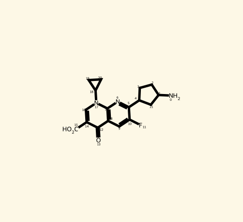 NC1CCC(c2nc3c(cc2F)c(=O)c(C(=O)O)cn3C2CC2)C1